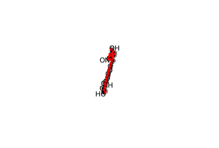 CC1C(c2ccc(N=O)cc2C[C@H](C)CCCCOCCOCCOCCOCCOCC(=O)NCCC(=O)N2CCC(O)C2)CCCC(C)(C)C1CCCO